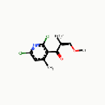 CCO/C=C(/C(=O)O)C(=O)c1c(C)cc(Cl)nc1Cl